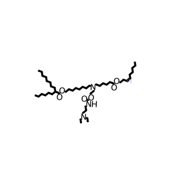 CCCCC/C=C\CCOC(=O)CCCCCN(CCCCCCCCOC(=O)C(CCCCCC)CCCCCCCC)CCOC(=O)NCCCN(CC)CC